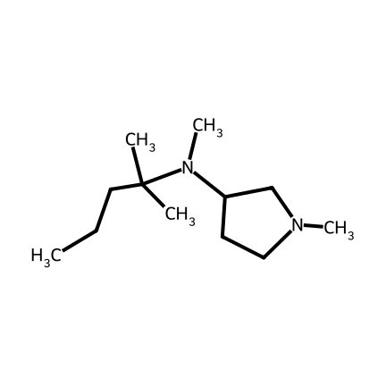 CCCC(C)(C)N(C)C1CCN(C)C1